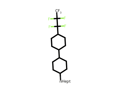 CCCCCCCC1CCC(C2CCC(C(F)(F)C(F)(F)C(F)(F)F)CC2)CC1